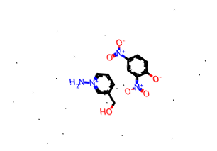 N[n+]1cccc(CO)c1.O=[N+]([O-])c1ccc([O-])c([N+](=O)[O-])c1